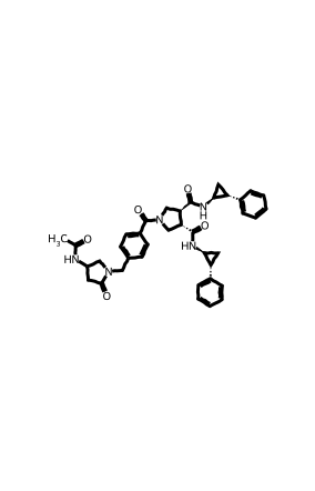 CC(=O)NC1CC(=O)N(Cc2ccc(C(=O)N3C[C@@H](C(=O)N[C@H]4C[C@@H]4c4ccccc4)[C@H](C(=O)N[C@H]4C[C@@H]4c4ccccc4)C3)cc2)C1